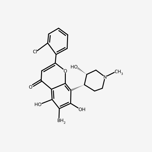 Bc1c(O)c([C@H]2CCN(C)C[C@H]2O)c2oc(-c3ccccc3Cl)cc(=O)c2c1O